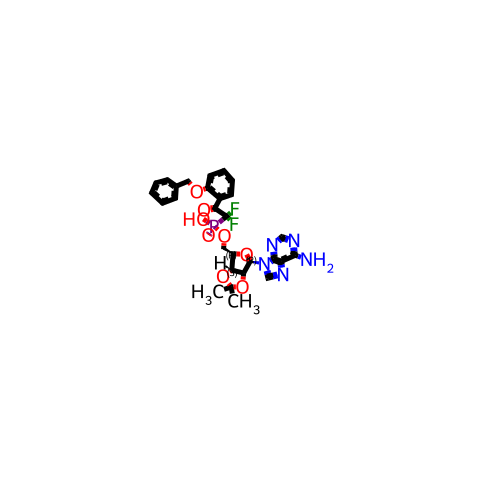 CC1(C)OC2[C@@H](O1)[C@@H](COP(=O)(O)C(F)(F)C(=O)c1ccccc1OCc1ccccc1)O[C@H]2n1cnc2c(N)ncnc21